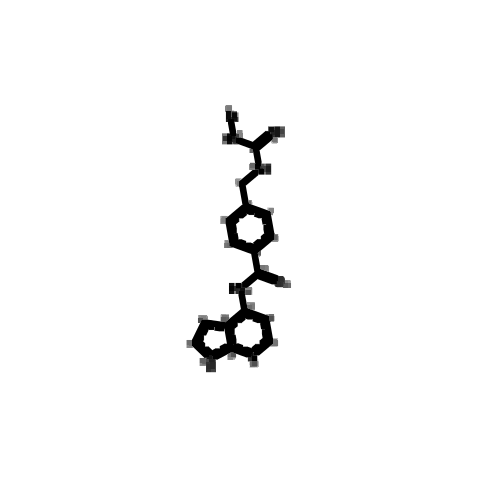 CCNC(=N)NCc1ccc(C(=O)Nc2ccnc3[nH]ccc23)cc1